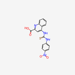 O=C(O)c1cc(NC(=S)Nc2ccc([N+](=O)[O-])cc2)c2ccccc2n1